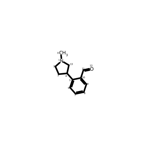 CN1CCC(c2ccccc2C=O)C1